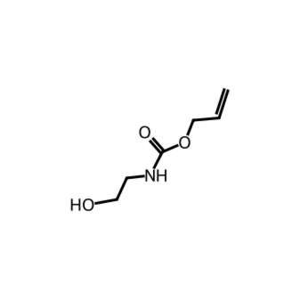 C=CCOC(=O)NCCO